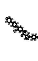 Cc1c(C(=O)Nc2ccc(N3CCN(C4CCOCC4)CC3)c(Cl)c2)cnn1-c1ccc(Cl)cc1